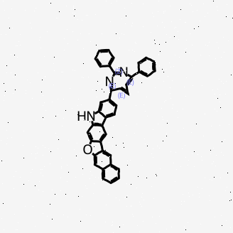 C1=C/C(c2ccc3c(c2)[nH]c2cc4oc5cc6ccccc6cc5c4cc23)=N\C(c2ccccc2)=N/C(c2ccccc2)=C/1